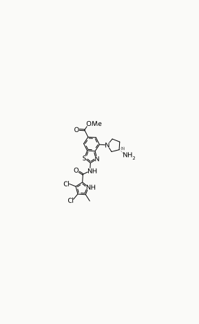 COC(=O)c1cc(N2CC[C@H](N)C2)c2nc(NC(=O)c3[nH]c(C)c(Cl)c3Cl)sc2c1